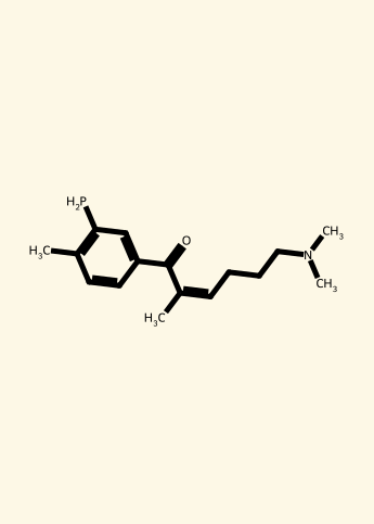 C/C(=C/CCCN(C)C)C(=O)c1ccc(C)c(P)c1